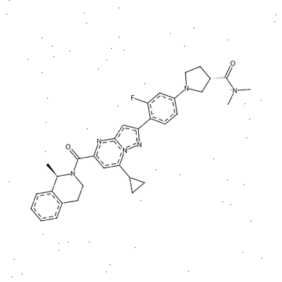 C[C@@H]1c2ccccc2CCN1C(=O)c1cc(C2CC2)n2nc(-c3ccc(N4CC[C@H](C(=O)N(C)C)C4)cc3F)cc2n1